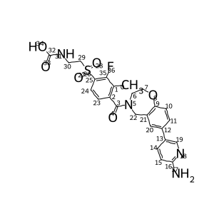 Cc1c(C(=O)N2CCOc3ccc(-c4ccc(N)nc4)cc3C2)ccc(S(=O)(=O)CCNC(=O)O)c1F